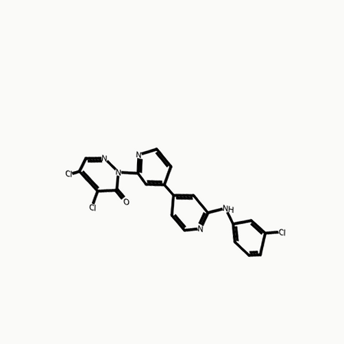 O=c1c(Cl)c(Cl)cnn1-c1cc(-c2ccnc(Nc3cccc(Cl)c3)c2)ccn1